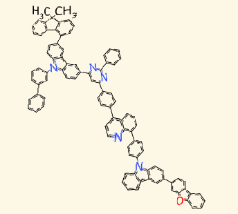 CC1(C)c2ccccc2-c2c(-c3ccc4c(c3)c3cc(-c5cc(-c6ccc(-c7ccnc8c(-c9ccc(-n%10c%11ccccc%11c%11cc(-c%12ccc%13c(c%12)oc%12ccccc%12%13)ccc%11%10)cc9)cccc78)cc6)nc(-c6ccccc6)n5)ccc3n4-c3cccc(-c4ccccc4)c3)cccc21